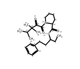 CCC(CCc1ccccc1)OC(=O)C1CCCCN1C(=O)C(=O)C(C)(C)C(C)C